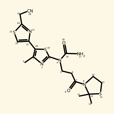 Cc1nc(N(CCC(=O)N2CCSC2(C)C)C(N)=O)sc1-c1csc(CC#N)n1